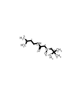 CC(C)CCNC(=O)C[S+]([O-])CC(C)(C)C